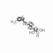 Cc1ccc2scc(CCNc3ncnc4c3ncn4[C@@H]3O[C@H](CO)C(O)C3O)c2c1